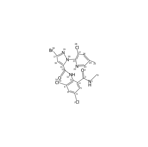 CNC(=O)c1cc(Cl)cc(Cl)c1NC(=O)c1cc(Br)nn1-c1ncc(C)cc1Cl